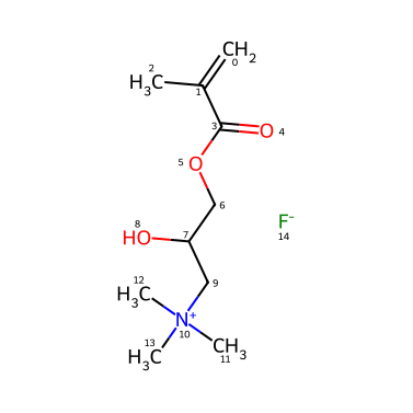 C=C(C)C(=O)OCC(O)C[N+](C)(C)C.[F-]